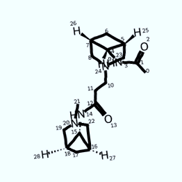 CC(=O)N[C@H]1[C@@H]2C[C@H]1CN(CCC(=O)N[C@@H]1[C@@H]3C[C@H]1CN(C)C3)C2